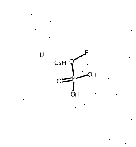 O=P(O)(O)OF.[CsH].[U]